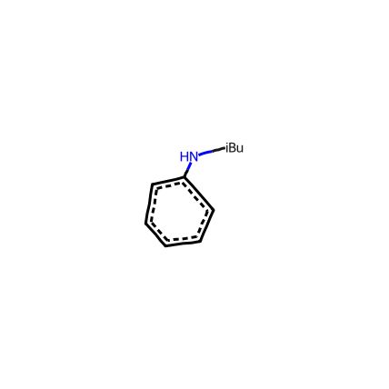 C[CH]C(C)Nc1ccccc1